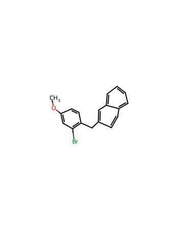 COc1ccc(Cc2ccc3ccccc3c2)c(Br)c1